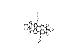 CCCCC=Cc1cc2c3c(ccc4c5c(C=CCCCC)cc6c7c(ccc(c1c34)c75)C(=O)N(C1CCCCC1)C6=O)C(=O)N(C1CCCCC1)C2=O